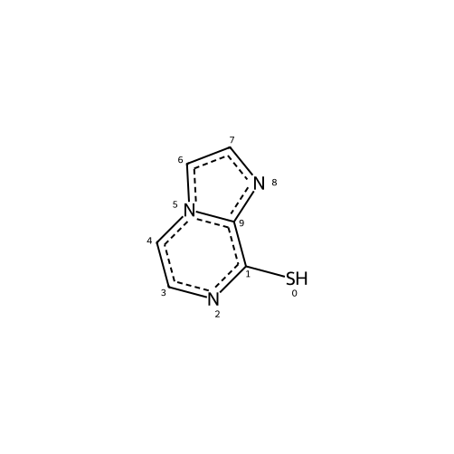 Sc1nccn2ccnc12